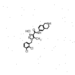 Cc1c(C(=O)Nc2ccc3c(c2)CCNC3)nnn1Cc1cccc(Cl)c1Cl.Cl